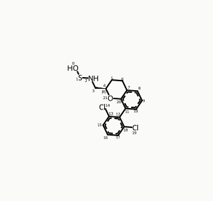 OSNC[C@H]1CCc2cccc(-c3c(Cl)cccc3Cl)c2O1